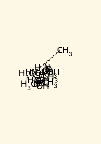 CCCCCCCCCCCCCCCC(=O)NC(C)(C)CCCC(C)(C)OP(=O)(O)OC(C)(C)CCCC(C)(C)OP(=O)(O)ON